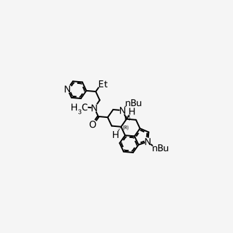 CCCCN1CC(C(=O)N(C)CC(CC)c2ccncc2)C[C@@H]2c3cccc4c3c(cn4CCCC)C[C@H]21